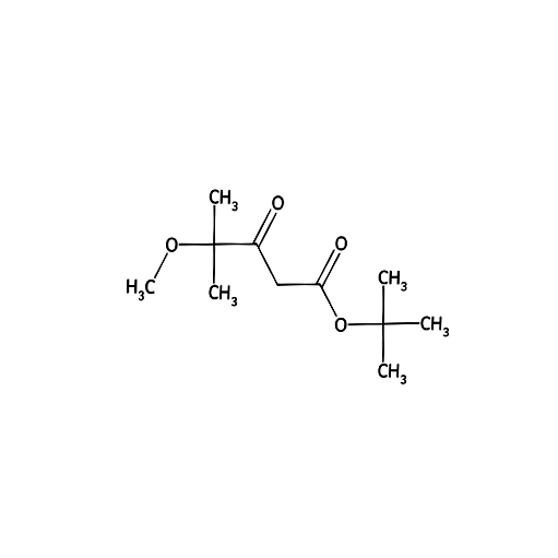 COC(C)(C)C(=O)CC(=O)OC(C)(C)C